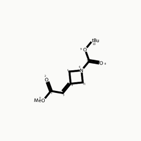 COC(=O)C=C1CN(C(=O)OC(C)(C)C)C1